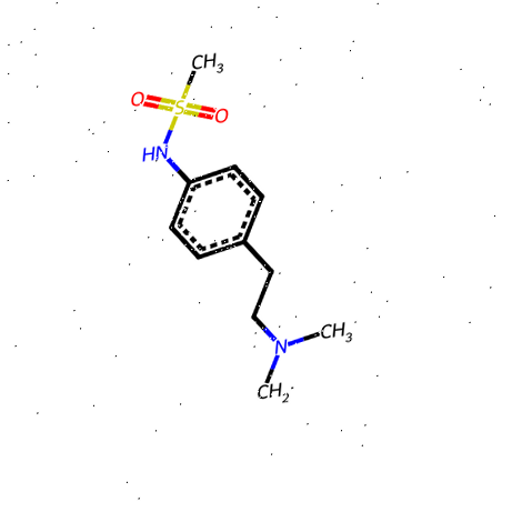 [CH2]N(C)CCc1ccc(NS(C)(=O)=O)cc1